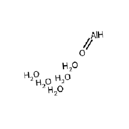 O.O.O.O.O.[O]=[AlH]